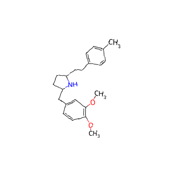 COc1ccc(CC2CCC(CCc3ccc(C)cc3)N2)cc1OC